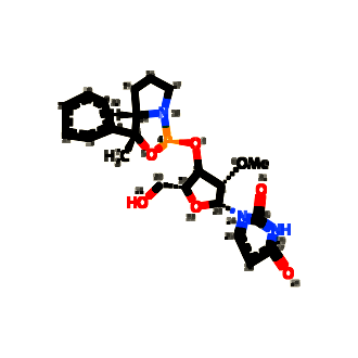 CO[C@H]1C(O[P@@]2O[C@](C)(c3ccccc3)[C@@H]3CCCN32)[C@@H](CO)O[C@H]1n1ccc(=O)[nH]c1=O